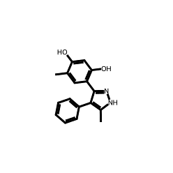 Cc1cc(-c2n[nH]c(C)c2-c2ccccc2)c(O)cc1O